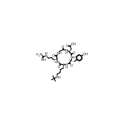 CC(C)(C)NCCCC[C@@H]1NC(=O)[C@@H](Cc2ccc(O)cc2)NC(=O)[C@H](CC(=O)O)NC(=O)CNC(=O)[C@H](CCCNC(=N)N)NC1=O